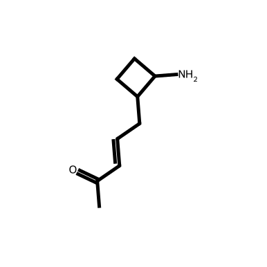 CC(=O)C=CCC1CCC1N